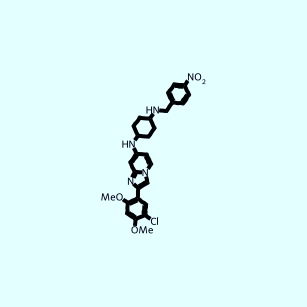 COc1cc(OC)c(-c2cn3ccc(NC4CCC(NCc5ccc([N+](=O)[O-])cc5)CC4)cc3n2)cc1Cl